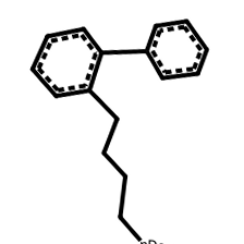 CCCCCCCCCCCCCCc1ccccc1-c1ccccc1